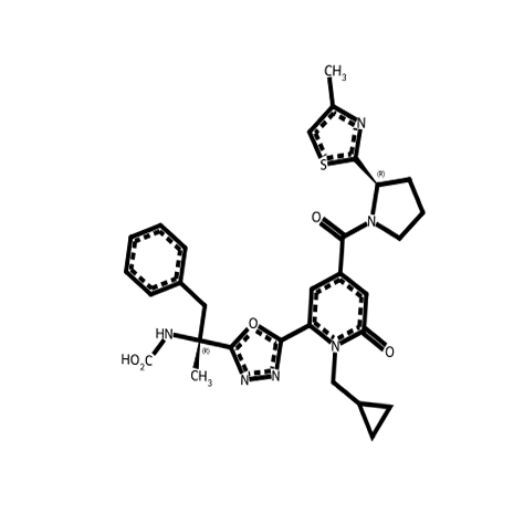 Cc1csc([C@H]2CCCN2C(=O)c2cc(-c3nnc([C@@](C)(Cc4ccccc4)NC(=O)O)o3)n(CC3CC3)c(=O)c2)n1